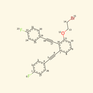 Fc1ccc(C#Cc2cccc(OCCBr)c2C#Cc2ccc(F)cc2)cc1